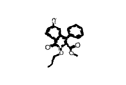 CCCOn1c(C(=O)OC)c(-c2ccccc2)c2cc(Cl)ccc2c1=O